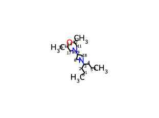 CCCC(CCC)N1CC(N2C[C@@H](C)O[C@@H](C)C2)C1